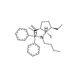 C=C[PH](c1ccccc1)(c1ccccc1)N(CCCC)[PH]1(I)[C@H](CC)CC[C@@H]1CC